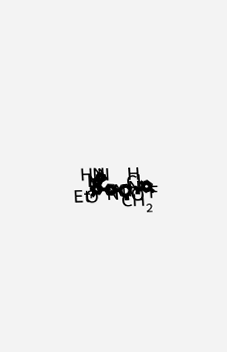 C=C1C[C@@H](NC(=O)c2cc(F)ccc2Cl)CCN(c2ccc(-c3cc(OCC)cn4nc5[nH]ncc5c34)cn2)C1